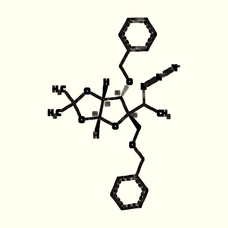 CC(N=[N+]=[N-])[C@]1(COCc2ccccc2)O[C@@H]2OC(C)(C)O[C@@H]2[C@@H]1OCc1ccccc1